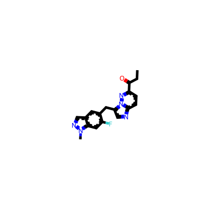 CCC(=O)c1ccc2ncc(Cc3cc4cnn(C)c4cc3F)n2n1